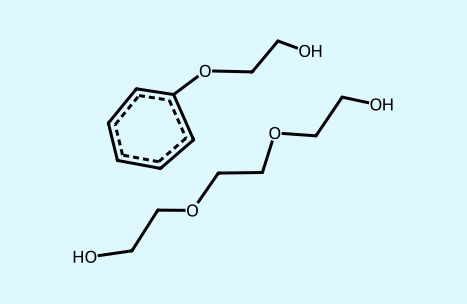 OCCOCCOCCO.OCCOc1ccccc1